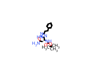 CC(C)(C)OC(=O)N[C@H](CC(N)=O)c1nc(CCc2ccccc2)n[nH]1